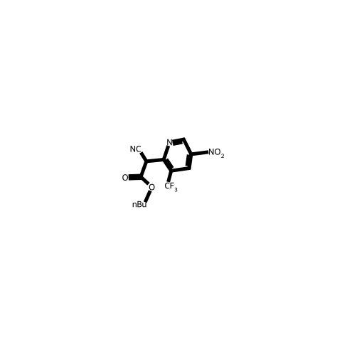 CCCCOC(=O)C(C#N)c1ncc([N+](=O)[O-])cc1C(F)(F)F